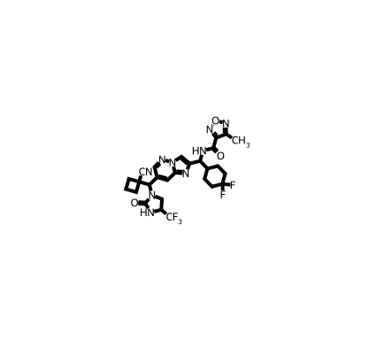 Cc1nonc1C(=O)NC(c1cn2ncc(C(N3CC(C(F)(F)F)NC3=O)C3(C#N)CCC3)cc2n1)C1CCC(F)(F)CC1